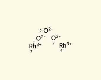 [O-2].[O-2].[O-2].[Rh+3].[Rh+3]